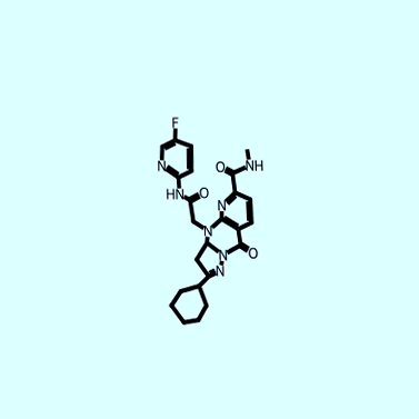 CNC(=O)c1ccc2c(n1)N(CC(=O)Nc1ccc(F)cn1)C1CC(C3CCCCC3)=NN1C2=O